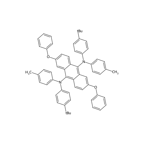 Cc1ccc(N(c2ccc(C(C)(C)C)cc2)c2c3ccc(Oc4ccccc4)cc3c(N(c3ccc(C)cc3)c3ccc(C(C)(C)C)cc3)c3ccc(Oc4ccccc4)cc23)cc1